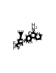 NC(=O)c1ncccc1-c1ccc(-n2nc(C(F)(F)F)cc2C2CC2)nc1